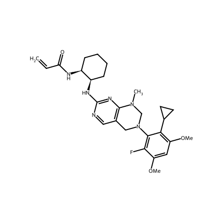 C=CC(=O)N[C@H]1CCCC[C@H]1Nc1ncc2c(n1)N(C)CN(c1c(F)c(OC)cc(OC)c1C1CC1)C2